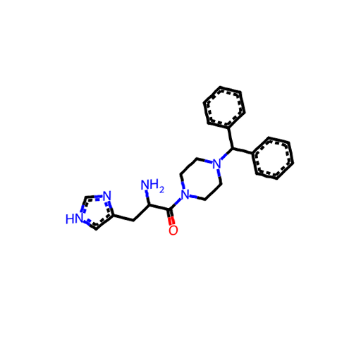 NC(Cc1c[nH]cn1)C(=O)N1CCN(C(c2ccccc2)c2ccccc2)CC1